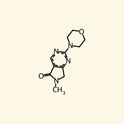 CN1Cc2nc(N3CCOCC3)ncc2C1=O